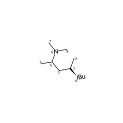 CC[C@H](C)C(C)CC(C)N(C)C